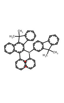 CC1(C)c2ccccc2-c2ccc(N(c3ccccc3)c3c4c(c5ccccc5c3-c3ccccc3)C(C)(C)c3ccccc3-4)cc21